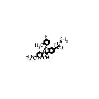 CCOC(=O)C(F)(F)c1ccc2c(c1)N(c1ccc(F)cc1C)CN(c1ccc(OC)nc1C)C2=O